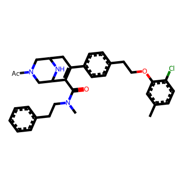 CC(=O)N1CC2CC(c3ccc(CCOc4cc(C)ccc4Cl)cc3)=C(C(=O)N(C)CCc3ccccc3)C(C1)N2